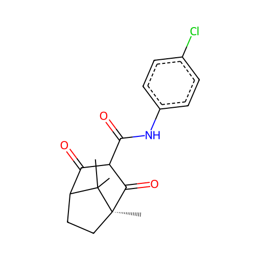 CC1(C)C2CC[C@]1(C)C(=O)C(C(=O)Nc1ccc(Cl)cc1)C2=O